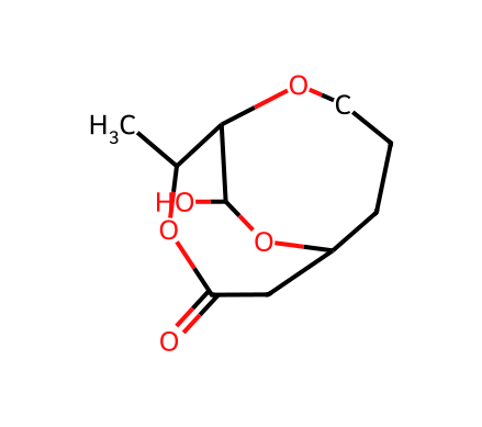 CC1OC(=O)CC2CCCOC1C(O)O2